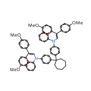 COc1ccc(C(=CN(c2ccccc2)c2ccc(C3(c4ccc(N(C=C(c5ccc(OC)cc5)c5ccc(OC)cc5)c5ccccc5)cc4)CCCCCC3)cc2)c2ccc(OC)cc2)cc1